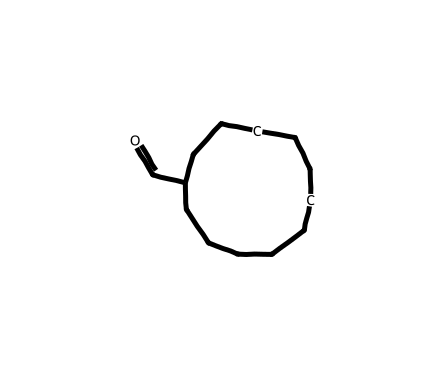 O=CC1CCCCCCCCCCC1